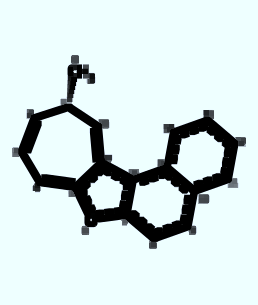 C[C@H]1C=CC=c2oc3ccc4ccccc4c3c2=C1